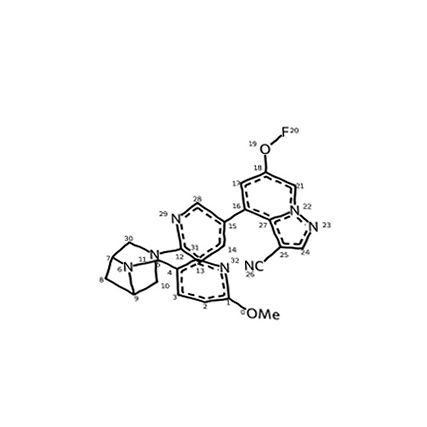 COc1ccc(CN2C3CC2CN(c2ccc(-c4cc(OF)cn5ncc(C#N)c45)cn2)C3)cn1